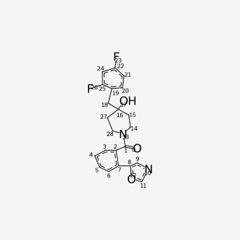 O=C(c1ccccc1-c1cnco1)N1CCC(O)(Cc2ccc(F)cc2F)CC1